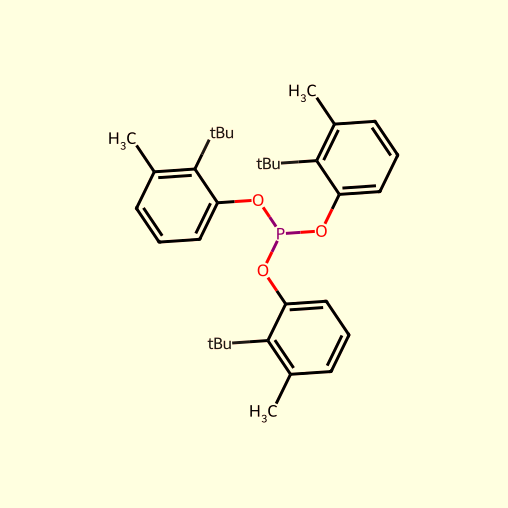 Cc1cccc(OP(Oc2cccc(C)c2C(C)(C)C)Oc2cccc(C)c2C(C)(C)C)c1C(C)(C)C